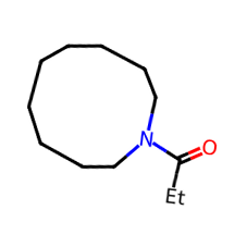 CCC(=O)N1CCCCCCCCC1